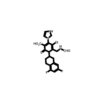 CCC1=C(CNC=O)C(C2CCc3c(F)cc(F)cc3C2)C(=S)C(C(=O)O)=C1N1C=CNC1